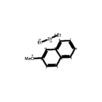 COc1ccc2ccccc2c1.C[CH2][Zn][CH2]C